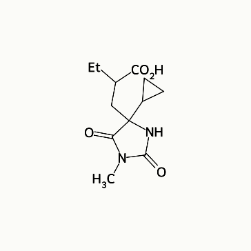 CCC(CC1(C2CC2)NC(=O)N(C)C1=O)C(=O)O